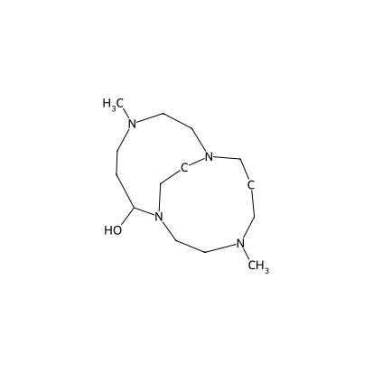 CN1CCC(O)N2CCN(C)CCCN(CC1)CC2